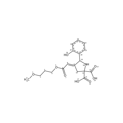 COCCCOC(=O)/C=C1\CC(C(=O)O)(C(=O)O)NC1c1ccccc1O